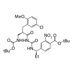 CC[C@@H](NC(=O)NC(=O)[C@@H](CNC(=O)OC(C)(C)C)Cc1cc(Cl)ccc1OC)c1ccc(C(=O)OC(C)(C)C)c([N+](=O)[O-])c1